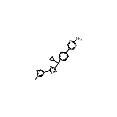 Cn1cc(-c2nc([C@](C)(c3ccc(-c4cnc(N)nc4)cc3)C3CC3)no2)cn1